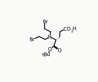 CC(C)(C)OC(=O)[C@@H](CCC(=O)O)N(CCBr)CCBr